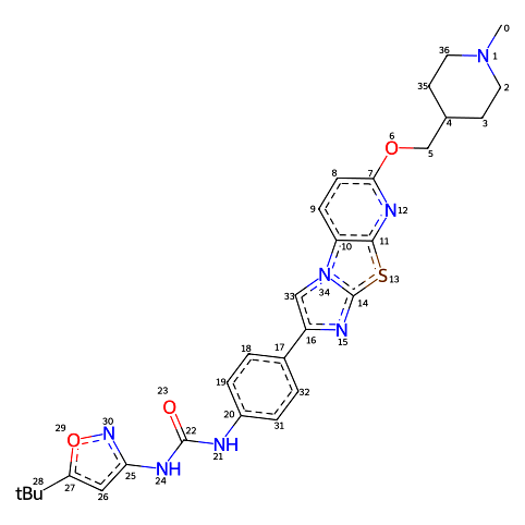 CN1CCC(COc2ccc3c(n2)sc2nc(-c4ccc(NC(=O)Nc5cc(C(C)(C)C)on5)cc4)cn23)CC1